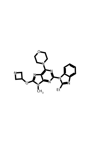 CCc1nc2ccccc2n1-c1nc(N2CCOCC2)c2nc(OC3C[N]C3)n(C)c2n1